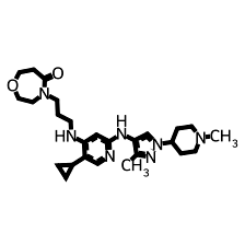 Cc1nn(C2CCN(C)CC2)cc1Nc1cc(NCCCN2CCOCCC2=O)c(C2CC2)cn1